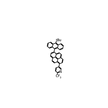 CC(C)(C)c1c2ccccc2c(-c2ccc3ccc4c(-c5ccc(C(F)(F)F)nc5)ccc5ccc2c3c54)c2ccccc12